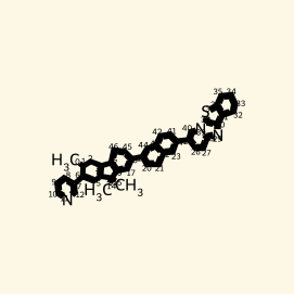 CC1CC2=C(C=C1c1cccnc1)C(C)(C)c1cc(-c3ccc4cc(-c5ccc6nc7c8ccccc8sc7n6c5)ccc4c3)ccc12